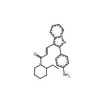 CCC1CCCCN1C(=O)C=Cc1c(-c2ccc(N)cc2)nn2ccccc12